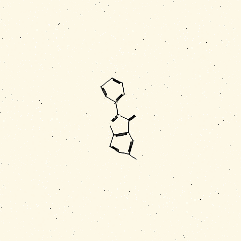 O=C1C(c2ccccc2)=Nc2ccc(Br)cc21